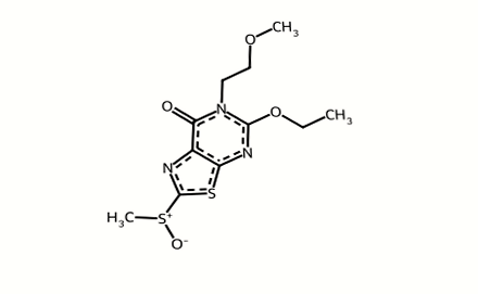 CCOc1nc2sc([S+](C)[O-])nc2c(=O)n1CCOC